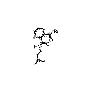 CN(C)CCNC(=O)c1nccnc1C(=O)C(C)(C)C